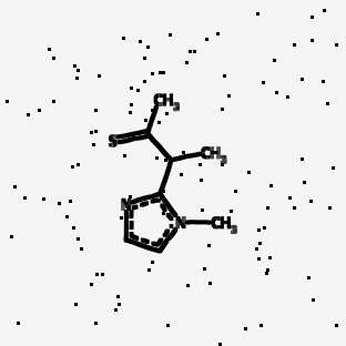 CC(=S)C(C)c1nccn1C